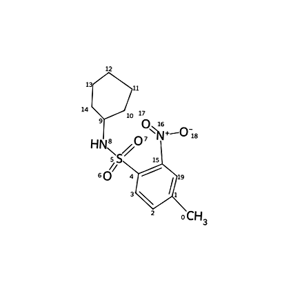 Cc1ccc(S(=O)(=O)NC2CCCCC2)c([N+](=O)[O-])c1